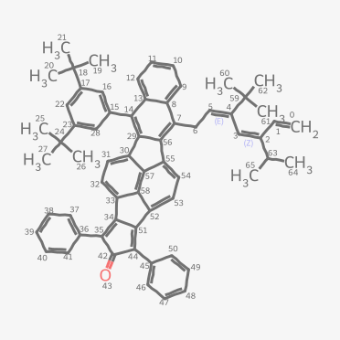 C=C/C(=C\C(=C/Cc1c2ccccc2c(-c2cc(C(C)(C)C)cc(C(C)(C)C)c2)c2c3ccc4c5c(-c6ccccc6)c(=O)c(-c6ccccc6)c-5c5ccc(c12)c3c54)C(C)(C)C)C(C)C